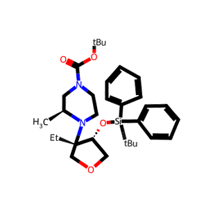 CC[C@]1(N2CCN(C(=O)OC(C)(C)C)C[C@@H]2C)COC[C@H]1O[Si](c1ccccc1)(c1ccccc1)C(C)(C)C